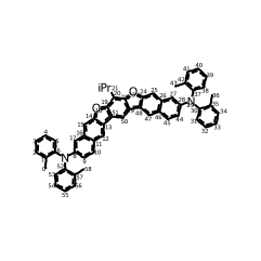 Cc1ccccc1N(c1ccc2cc3c(cc2c1)oc1c(C(C)C)c2oc4cc5cc(N(c6ccccc6C)c6ccccc6C)ccc5cc4c2cc13)c1ccccc1C